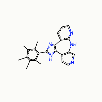 Cc1c(C)c(C)c(-c2nc3c([nH]2)-c2ccncc2Nc2ncccc2-3)c(C)c1C